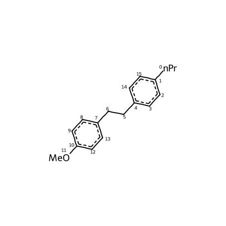 CCCc1ccc(CCc2ccc(OC)cc2)cc1